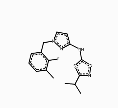 Cc1cccc(Cn2ccc(Nc3nnc(C(C)C)s3)n2)c1F